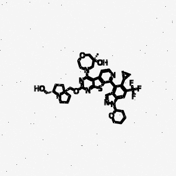 C[C@@]1(O)COCCN(c2nc(OC[C@@]34CCCN3[C@H](CO)CC4)nc3sc4c(-c5c(C6CC6)c(C(F)(F)F)cc6c5cnn6C5CCCCO5)nccc4c23)C1